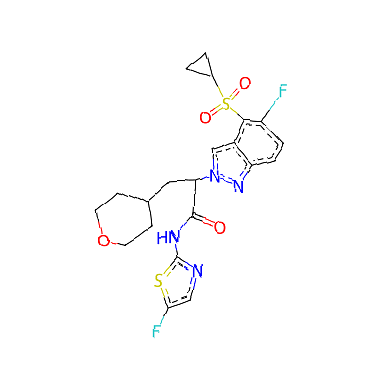 O=C(Nc1ncc(F)s1)C(CC1CCOCC1)n1cc2c(S(=O)(=O)C3CC3)c(F)ccc2n1